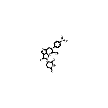 O=C1CC[C@H](N2Cc3c(csc3CN(C(=O)O)c3ccc([N+](=O)[O-])cc3)C2=O)C(=O)N1